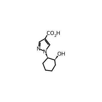 O=C(O)c1cnn([C@@H]2CCCC[C@@H]2O)c1